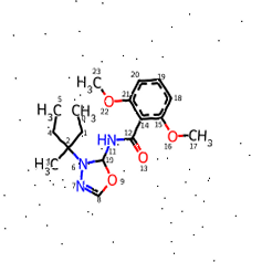 CCC(C)(CC)N1N=COC1NC(=O)c1c(OC)cccc1OC